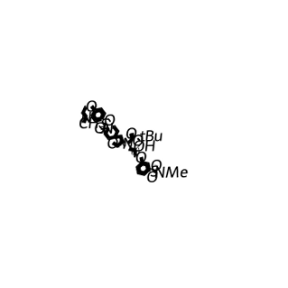 CNS(=O)(=O)c1cccc(OC[C@@H](O)CN(C(=O)OC(C)(C)C)[C@H]2COC3(CCN(S(=O)(=O)c4ccc5c(c4)N(C)CCO5)CC3)C2)c1